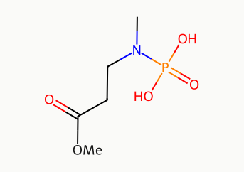 COC(=O)CCN(C)P(=O)(O)O